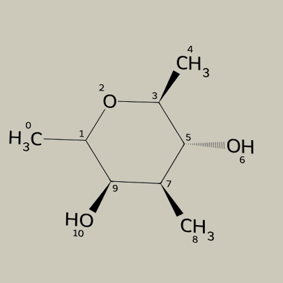 CC1O[C@@H](C)[C@H](O)[C@@H](C)[C@H]1O